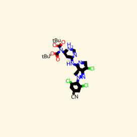 C=C(/C=C(\N=C/N)Nc1ncc(Cl)c2nn(-c3c(Cl)cc(C#N)cc3Cl)cc12)N(C(=O)OC(C)(C)C)C(=O)OC(C)(C)C